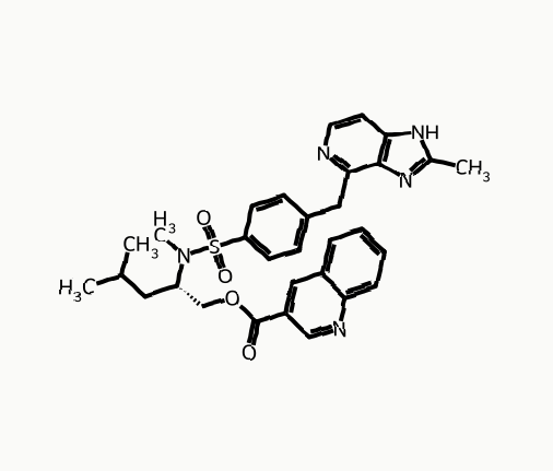 Cc1nc2c(Cc3ccc(S(=O)(=O)N(C)[C@H](COC(=O)c4cnc5ccccc5c4)CC(C)C)cc3)nccc2[nH]1